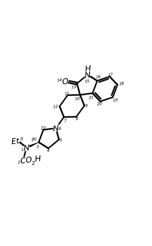 CCN(C(=O)O)[C@@H]1CCN(C2CCC3(CC2)C(=O)Nc2ccccc23)C1